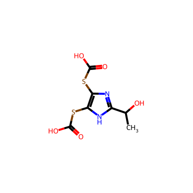 CC(O)c1nc(SC(=O)O)c(SC(=O)O)[nH]1